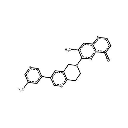 Cc1cncc(-c2cnc3c(c2)CN(c2nn4c(=O)ccnc4cc2C)CC3)c1